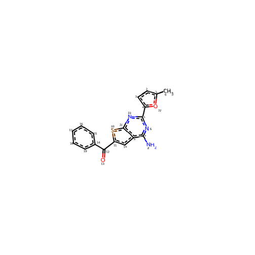 Cc1ccc(-c2nc(N)c3cc(C(=O)c4ccccc4)sc3n2)o1